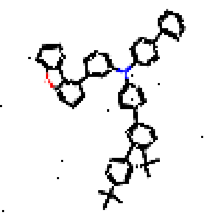 CC(C)(C)c1ccc2c(c1)C(C)(C)c1ccc(-c3ccc(N(c4ccc(-c5ccccc5)cc4)c4cccc(-c5cccc6oc7ccccc7c56)c4)cc3)cc1-2